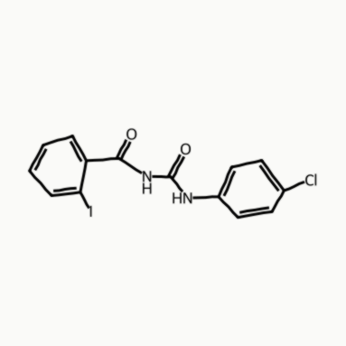 O=C(NC(=O)c1ccccc1I)Nc1ccc(Cl)cc1